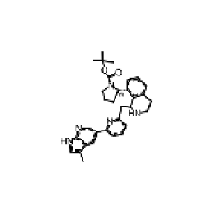 Cc1c[nH]c2ncc(-c3cccc(CC4NCCc5cccc([C@@H]6CCCN6C(=O)OC(C)(C)C)c54)n3)cc12